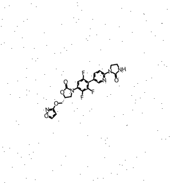 O=C1NCCN1c1ccc(-c2c(F)cc(N3C[C@H](COc4ccon4)OC3=O)c(F)c2F)cn1